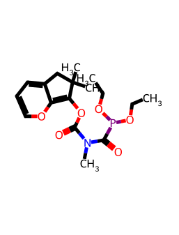 CCOP(OCC)C(=O)N(C)C(=O)OC1=C2OC=CC=C2CC1(C)C